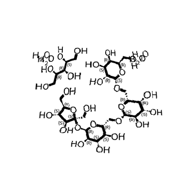 O.O.O.O.OC[C@@H](O)[C@H](O)[C@@H](O)CO.OC[C@H]1O[C@H](OC[C@H]2O[C@H](OC[C@H]3O[C@H](O[C@]4(CO)O[C@H](CO)[C@@H](O)[C@@H]4O)[C@H](O)[C@@H](O)[C@@H]3O)[C@H](O)[C@@H](O)[C@H]2O)[C@H](O)[C@@H](O)[C@H]1O